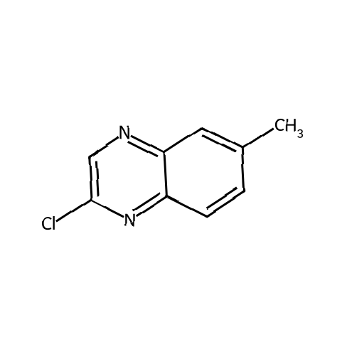 Cc1ccc2nc(Cl)cnc2c1